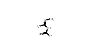 CCC(=N)N/C(N)=N\C